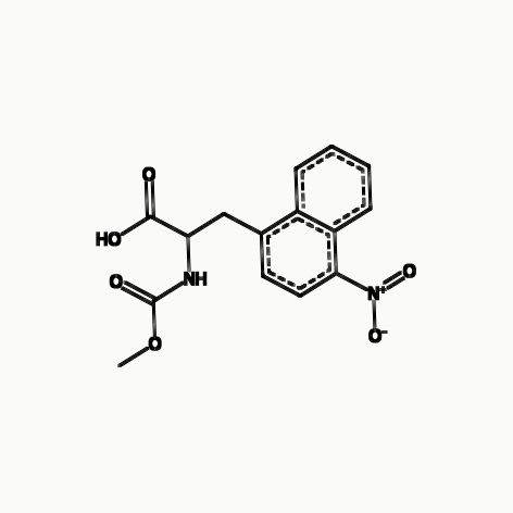 COC(=O)NC(Cc1ccc([N+](=O)[O-])c2ccccc12)C(=O)O